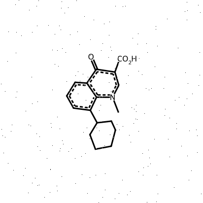 Cn1cc(C(=O)O)c(=O)c2cccc(C3CCCCC3)c21